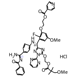 COCC(C)(C)C(=O)OCOc1nc([C@H](Nc2ccc(/C(N)=N/C(=O)c3ccccc3)cc2)c2cc(OC)cc(OCCOC(=O)c3ccncc3)c2F)nn1-c1ncccn1.Cl